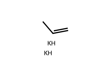 C=CC.[KH].[KH]